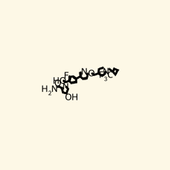 NC(=O)C1C[C@@H](O)CN1C(O)c1ccc(-c2ccc(OCC3CCN(CC4(C(F)(F)F)CCC4)CC3)nc2)cc1F